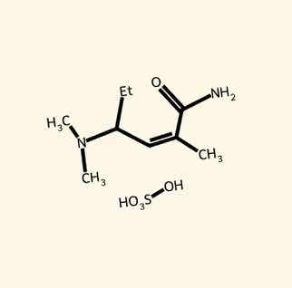 CCC(C=C(C)C(N)=O)N(C)C.O=S(=O)(O)O